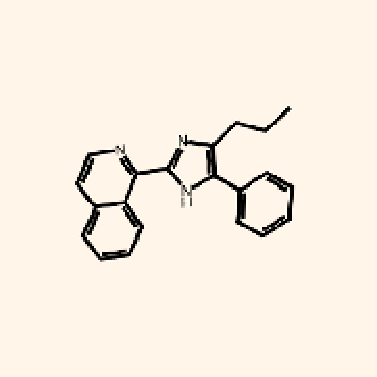 CCCc1nc(-c2nccc3ccccc23)[nH]c1-c1ccccc1